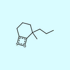 CCCC1(C)CCCc2soc21